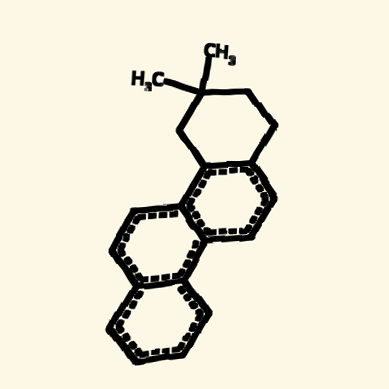 CC1(C)CCc2ccc3c(ccc4ccccc43)c2C1